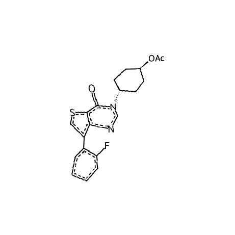 CC(=O)O[C@H]1CC[C@H](n2cnc3c(-c4ccccc4F)csc3c2=O)CC1